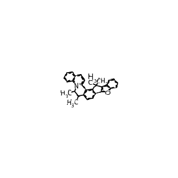 CC1c2ccc3c(c2-c2ccc4ccccc4[n+]2C1C)C(C)(C)c1c-3oc2ccccc12